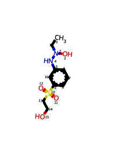 CCN(O)Nc1cccc(S(=O)(=O)CCO)c1